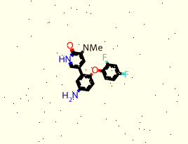 CNc1cc(-c2cc(N)ccc2Oc2ccc(F)cc2F)c[nH]c1=O